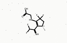 C[C@H]1CC(F)(F)C(NCC(=O)O)=C1C(=N)C(F)F